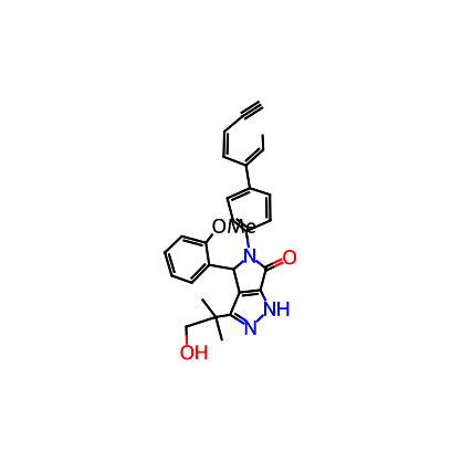 C#C/C=C\C(=C/C)c1ccc(N2C(=O)c3[nH]nc(C(C)(C)CO)c3C2c2ccccc2OC)cc1